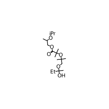 CCC(C)(O)OCC(C)(C)OC(C)(C)C(=O)OCC(C)OC(C)C